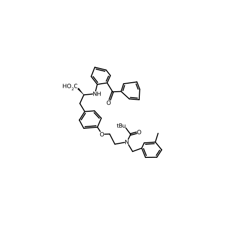 Cc1cccc(CN(CCOc2ccc(C[C@H](Nc3ccccc3C(=O)c3ccccc3)C(=O)O)cc2)C(=O)C(C)(C)C)c1